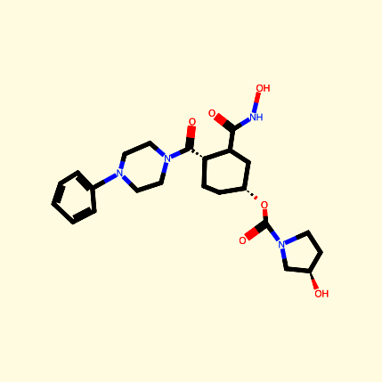 O=C(NO)C1C[C@H](OC(=O)N2CC[C@@H](O)C2)CC[C@@H]1C(=O)N1CCN(c2ccccc2)CC1